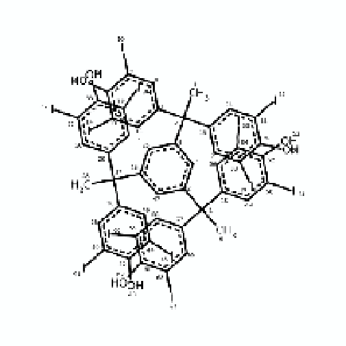 CC(c1cc(C(C)(c2cc(I)c(O)c(I)c2)c2cc(I)c(O)c(I)c2)cc(C(C)(c2cc(I)c(O)c(I)c2)c2cc(I)c(O)c(I)c2)c1)(c1cc(I)c(O)c(I)c1)c1cc(I)c(O)c(I)c1